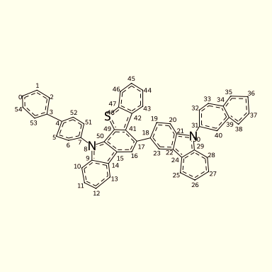 c1ccc(-c2ccc(-n3c4ccccc4c4cc(-c5ccc6c(c5)c5ccccc5n6-c5ccc6ccccc6c5)c5c6ccccc6sc5c43)cc2)cc1